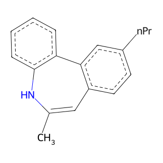 CCCc1ccc2c(c1)-c1ccccc1NC(C)=C2